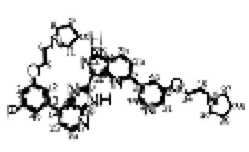 Fc1cc(OCCN2CCCC2)cc(-c2ccnc3[nH]c(-c4n[nH]c5ccc(-c6cncc(OCCN7CCCC7)c6)nc45)nc23)c1